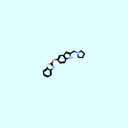 c1ccc2sc(Oc3ccc4[nH]c(CN5CCCC5)cc4c3)nc2c1